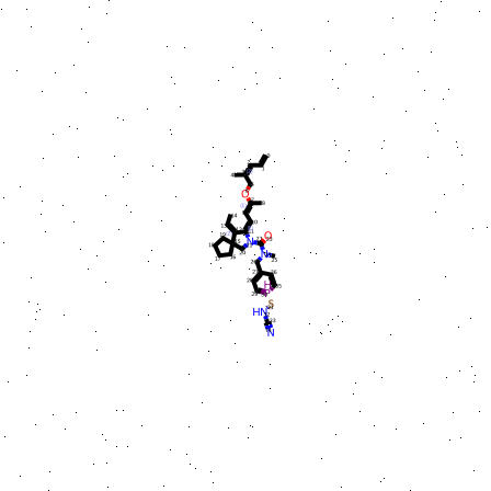 C=C/C=C(/C)CO/C(C)=C/C=C1\C(=C/C)C2(CCCC2)CN1C(=O)N(C)CC1=CC=[PH](SNC#N)C=C1